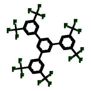 FC(F)(F)c1cc(-c2cc(-c3cc(C(F)(F)F)cc(C(F)(F)F)c3)cc(-c3cc(C(F)(F)F)cc(C(F)(F)F)c3)c2)cc(C(F)(F)F)c1